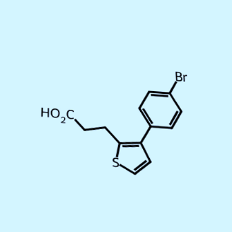 O=C(O)CCc1sccc1-c1ccc(Br)cc1